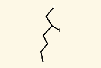 CCCCC(I)CI